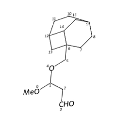 COC(CC=O)OCC12CCC3CCC(C1)C2C3